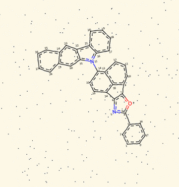 c1ccc(-c2nc3c(o2)-c2cccc4c(-n5c6ccccc6c6cc7ccccc7cc65)ccc-3c24)cc1